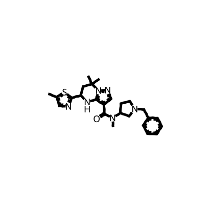 Cc1cnc(C2CC(C)(C)n3ncc(C(=O)N(C)C4CCN(Cc5ccccc5)C4)c3N2)s1